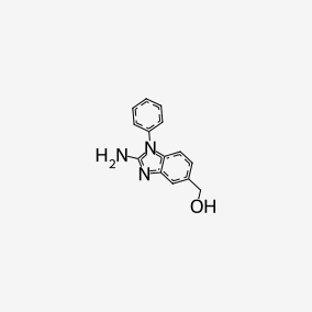 Nc1nc2cc(CO)ccc2n1-c1ccccc1